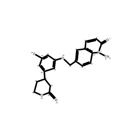 Cn1c(=O)ccc2cc(COc3cc(F)cc(C4CCOC(=O)C4)c3)ccc21